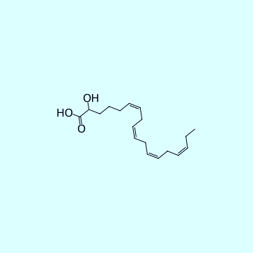 CC/C=C\C/C=C\C/C=C\C/C=C\CCCC(O)C(=O)O